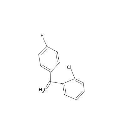 C=C(c1ccc(F)cc1)c1ccccc1Cl